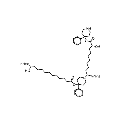 CCCCCCC(O)CCCCCCCCCCC(=O)OC1(c2ccccc2)CCN(C(CCCCC)CCCCCCCC(O)C(=O)OC2(c3ccccc3)CCNCC2)CC1